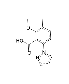 COc1c(C)ccc(-n2nccn2)c1C(=O)O